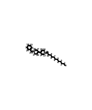 CCCCCCCCCCCC[n+]1ccc(-c2cc[n+](Cc3ccccc3)cc2)cc1